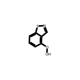 OOc1cccc2sn[c]c12